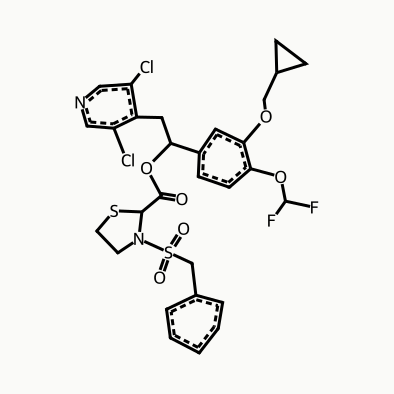 O=C(OC(Cc1c(Cl)cncc1Cl)c1ccc(OC(F)F)c(OCC2CC2)c1)C1SCCN1S(=O)(=O)Cc1ccccc1